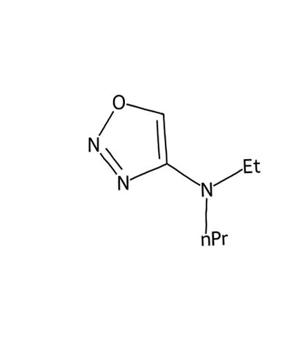 CCCN(CC)c1conn1